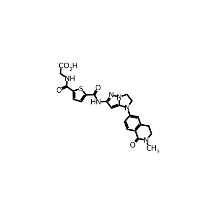 CN1CCc2cc(N3CCn4nc(NC(=O)c5ccc(C(=O)NCC(=O)O)s5)cc43)ccc2C1=O